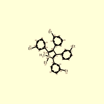 CCc1cccc(C2=C(c3cccc(CC)c3)[Si](C)(CC)C(c3cccc(CC)c3)=C2c2cccc(CC)c2)c1